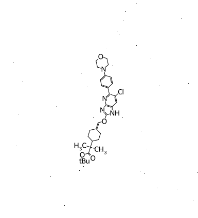 CC(C)(C)OC(=O)C(C)(C)C1CCC(=COc2nc3nc(-c4ccc(N5CCOCC5)cc4)c(Cl)cc3[nH]2)CC1